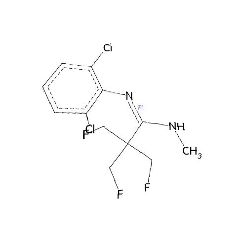 CN/C(=N/c1c(Cl)cccc1Cl)C(CF)(CF)CF